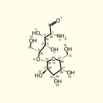 N[C@@H](C=O)[C@@H](O)[C@H](O)[C@@H](CO)O[C@@H]1O[C@H](CO)[C@H](O)[C@H](O)[C@H]1O